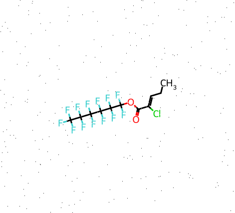 CCC=C(Cl)C(=O)OC(F)(F)C(F)(F)C(F)(F)C(F)(F)C(F)(F)C(F)(F)F